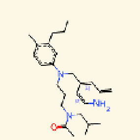 C=C/C=C(\C=C/N)CN(CCCN(CC(C)C)C(C)=O)c1ccc(C)c(CCC)c1